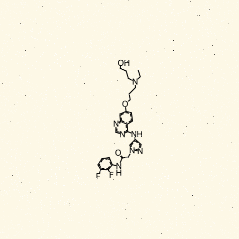 CCN(CCCO)CCCOc1ccc2c(Nc3cnn(CC(=O)Nc4cccc(F)c4F)c3)ncnc2c1